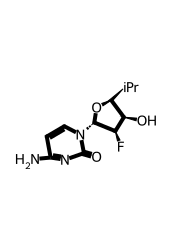 [CH2][C@H](C)[C@@H]1O[C@@H](n2ccc(N)nc2=O)[C@H](F)[C@@H]1O